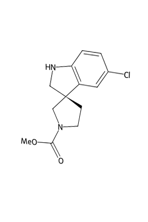 COC(=O)N1CC[C@]2(CNc3ccc(Cl)cc32)C1